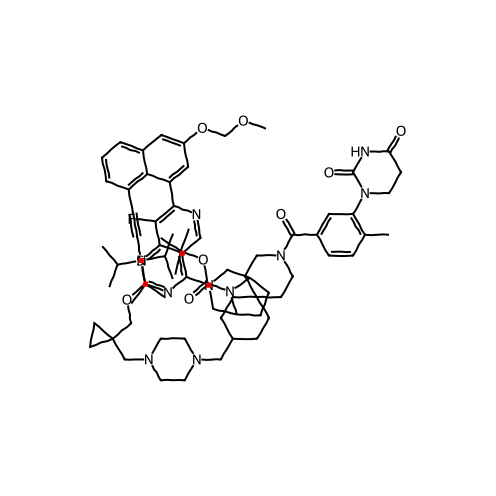 COCOc1cc(-c2ncc3c(N4CC5CCC(C4)N5C(=O)OC(C)(C)C)nc(OCC4(CN5CCN(CC6CCC7(CC6)CCN(C(=O)c6ccc(C)c(N8CCC(=O)NC8=O)c6)CC7)CC5)CC4)nc3c2F)c2c(C#C[Si](C(C)C)(C(C)C)C(C)C)cccc2c1